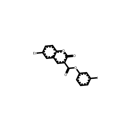 CCc1ccc2oc(=O)c(C(=O)Oc3cccc(I)c3)cc2c1